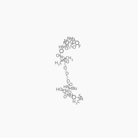 Cc1ncsc1-c1ccc(CNC(=O)[C@@H]2C[C@@H](O)CN2C(=O)[C@@H](NC(=O)COCCCOCCOCCC(=O)N2[C@H](C)CN(C(=O)c3ccc(NC(=O)c4cc(O[C@H](C)c5c(Cl)ccc(F)c5Cl)c(N)nn4)cc3)C[C@@H]2C)C(C)(C)C)cc1